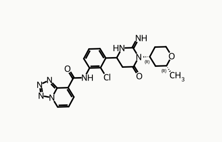 C[C@@H]1C[C@H](N2C(=N)NC(c3cccc(NC(=O)c4cccn5nnnc45)c3Cl)CC2=O)CCO1